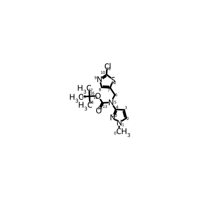 Cn1ccc(N(Cc2cnc(Cl)s2)C(=O)OC(C)(C)C)n1